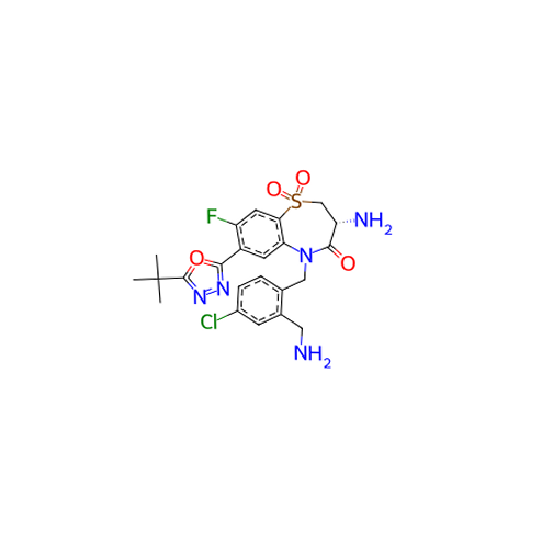 CC(C)(C)c1nnc(-c2cc3c(cc2F)S(=O)(=O)C[C@H](N)C(=O)N3Cc2ccc(Cl)cc2CN)o1